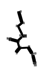 C=CCNC(=O)C(=C)C=C=O